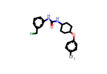 O=C(Nc1cccc(CF)c1)NC1CCC(Oc2ccc(C(F)(F)F)cc2)CC1